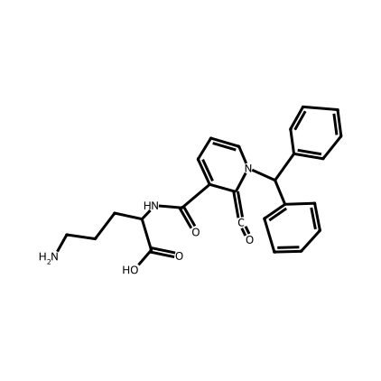 NCCCC(NC(=O)C1=CC=CN(C(c2ccccc2)c2ccccc2)C1=C=O)C(=O)O